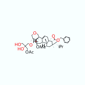 CO[C@@H]1C[C@@]23COC[C@@](C)([C@@H]2CC[C@H]2C3=CC[C@@]3(C)[C@H](C(=O)OCc4ccccc4)[C@@](C)([C@H](C)C(C)C)CC[C@]23C)[C@H]1OCC(O)(CO)COC(C)=O